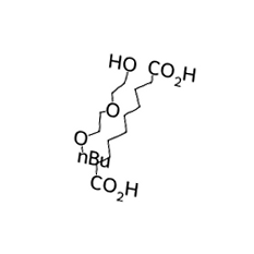 CCCCOCCOCCO.O=C(O)CCCCCCCCC(=O)O